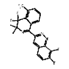 CC1(C)N=C(c2cc3ccc(F)c(F)c3nn2)c2cccc(C(F)(F)F)c2C1(F)F